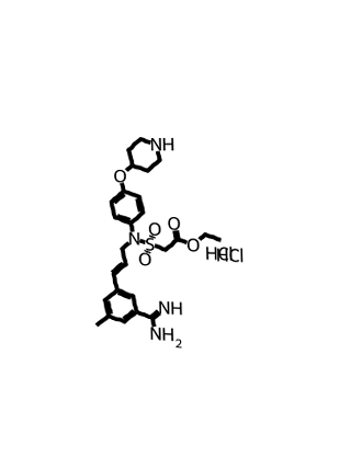 CCOC(=O)CS(=O)(=O)N(C/C=C/c1cc(C)cc(C(=N)N)c1)c1ccc(OC2CCNCC2)cc1.Cl.Cl